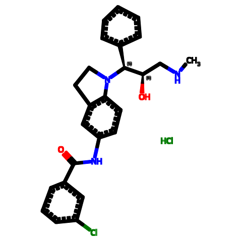 CNC[C@@H](O)[C@H](c1ccccc1)N1CCc2cc(NC(=O)c3cccc(Cl)c3)ccc21.Cl